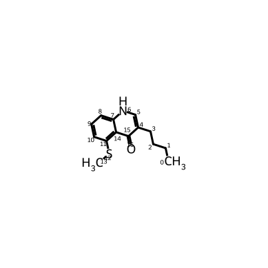 CCCCc1c[nH]c2cccc(SC)c2c1=O